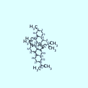 Cc1ccc2c(CC(C)(C)C)c3c(c(C)c2c1)-c1c2c(cc4cc(C(C)C)ccc4c2cc[n+]1C)S3